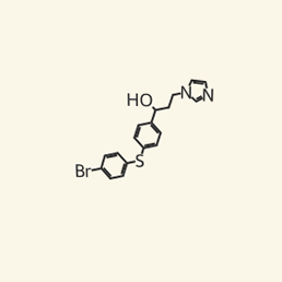 OC(CCn1ccnc1)c1ccc(Sc2ccc(Br)cc2)cc1